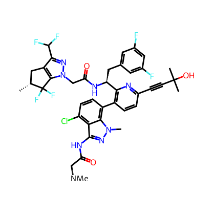 CNCC(=O)Nc1nn(C)c2c(-c3ccc(C#CC(C)(C)O)nc3[C@H](Cc3cc(F)cc(F)c3)NC(=O)Cn3nc(C(F)F)c4c3C(F)(F)[C@H](C)C4)ccc(Cl)c12